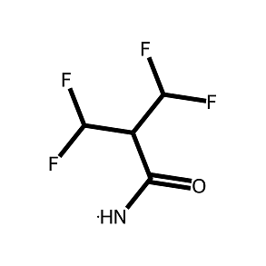 [NH]C(=O)C(C(F)F)C(F)F